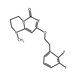 CN1CCCn2c1cc(OCCc1cccc(F)c1F)nc2=O